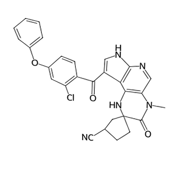 CN1C(=O)C2(CCC(C#N)C2)Nc2c1cnc1[nH]cc(C(=O)c3ccc(Oc4ccccc4)cc3Cl)c21